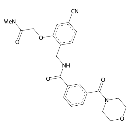 CNC(=O)COc1cc(C#N)ccc1CNC(=O)c1cccc(C(=O)N2CCOCC2)c1